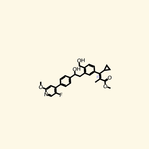 COC(=O)/C(C)=C(/c1ccc(CO)c(CC(O)c2ccc(-c3cc(OC)ncc3F)cc2)c1)C1CC1